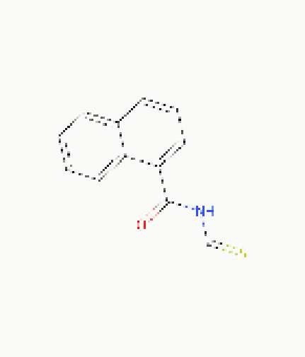 O=C(NC=S)c1cccc2ccccc12